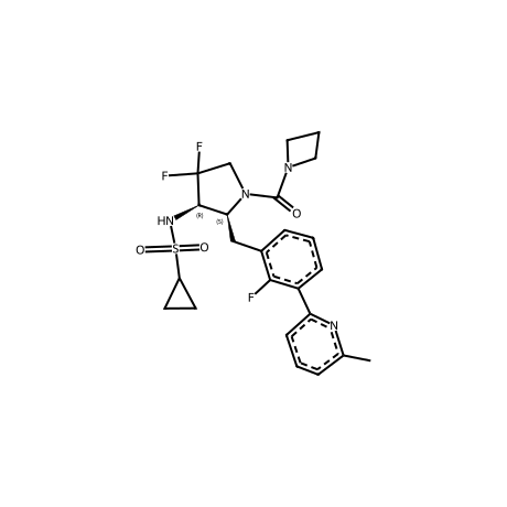 Cc1cccc(-c2cccc(C[C@H]3[C@@H](NS(=O)(=O)C4CC4)C(F)(F)CN3C(=O)N3CCC3)c2F)n1